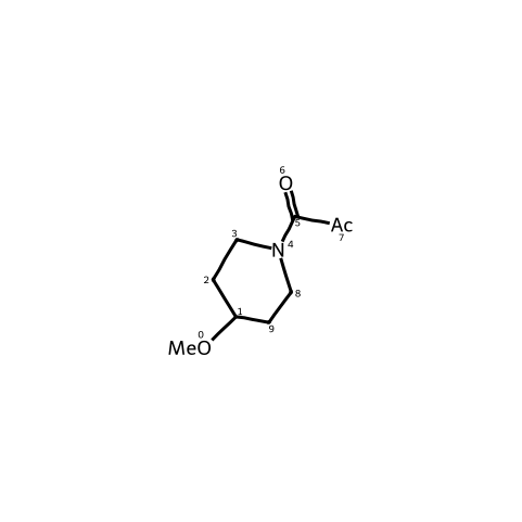 COC1CCN(C(=O)C(C)=O)CC1